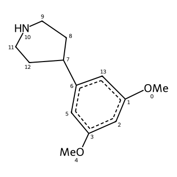 COc1cc(OC)cc(C2CCNCC2)c1